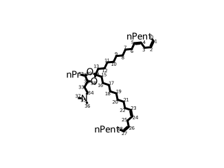 CCCCC/C=C\C/C=C\CCCCCCCCC1(CCCCCCCC/C=C\C/C=C\CCCCC)OC(CCC)C(CCN(C)C)O1